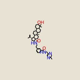 C=C(C)[C@@H]1CC[C@]2(C(=O)NCCc3cccc(C(=O)NCc4cnc(C)cn4)c3)CC[C@]3(C)C(CCC4[C@@]5(C)CC[C@H](O)C(C)(C)C5CC[C@]43C)C12